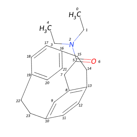 CCN(CC)C(=O)Cc1cc2ccc1CCc1ccc(cc1)CC2